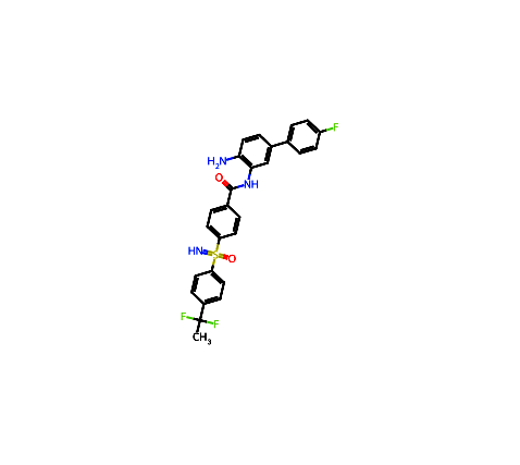 CC(F)(F)c1ccc(S(=N)(=O)c2ccc(C(=O)Nc3cc(-c4ccc(F)cc4)ccc3N)cc2)cc1